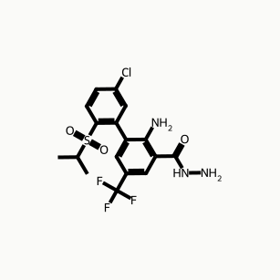 CC(C)S(=O)(=O)c1ccc(Cl)cc1-c1cc(C(F)(F)F)cc(C(=O)NN)c1N